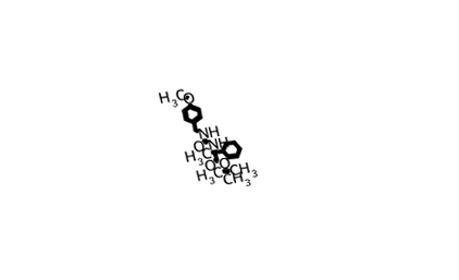 COc1ccc(CNC(=O)NC(C)(C(=O)OC(C)(C)C)C2C=CCCC2)cc1